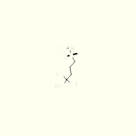 CNS(=O)(=O)CCCC(C)(C)C